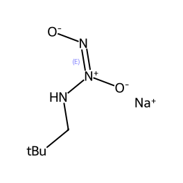 CC(C)(C)CN/[N+]([O-])=N\[O-].[Na+]